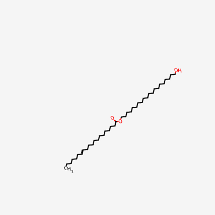 CCCCCCC=CCCCCCCCCCCCC(=O)OCCCCCCCCCCCCCCCCCCCCO